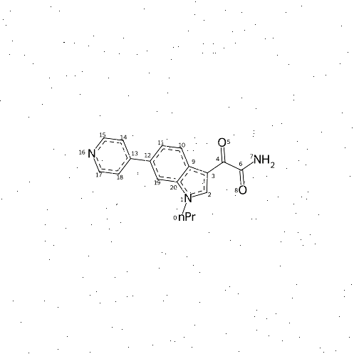 CCCn1cc(C(=O)C(N)=O)c2ccc(-c3ccncc3)cc21